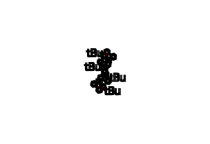 CC(C)(C)C1=CCC(N(c2ccccc2-c2ccccc2)c2ccc3c4cc5c(cc4n4c6c(C(C)(C)C)cccc6c2c34)c2ccc(N(c3ccc(C(C)(C)C)cc3)c3ccccc3-c3ccccc3)c3c4cccc(C(C)(C)C)c4n5c23)C=C1